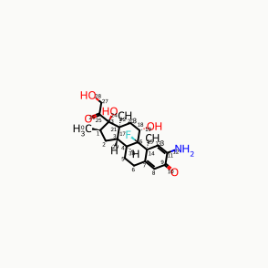 C[C@@H]1C[C@H]2[C@@H]3CCC4=CC(=O)C(N)=C[C@]4(C)[C@@]3(F)[C@@H](O)C[C@]2(C)[C@@]1(O)C(=O)CO